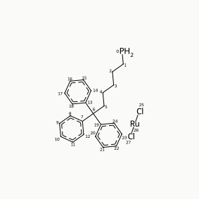 PCCCCCC(c1ccccc1)(c1ccccc1)c1ccccc1.[Cl][Ru][Cl]